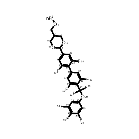 CCCOCC1COC(c2cc(F)c(-c3cc(F)c(C(F)(F)Oc4cc(F)c(F)c(F)c4)c(F)c3)c(F)c2)OC1